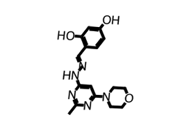 Cc1nc(NN=Cc2ccc(O)cc2O)cc(N2CCOCC2)n1